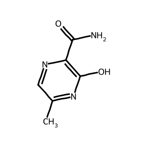 Cc1cnc(C(N)=O)c(O)n1